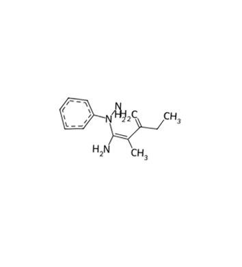 C=C(CC)/C(C)=C(/N)N(N)c1ccccc1